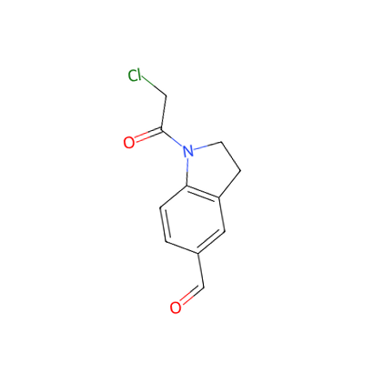 O=Cc1ccc2c(c1)CCN2C(=O)CCl